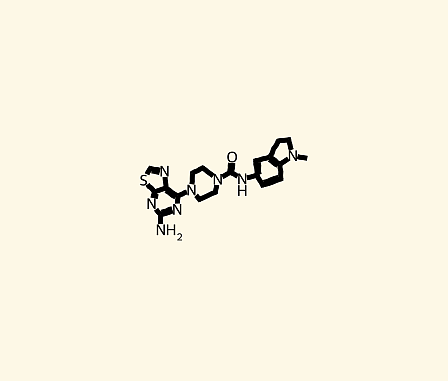 CN1CCc2cc(NC(=O)N3CCN(c4nc(N)nc5scnc45)CC3)ccc21